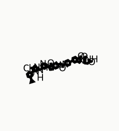 O=C1CCC(N2Cc3cc(C4CCN(C(=O)CN5CCC6(CC5)CCN(c5cncc(Nc7ncc(Cl)c(-c8cccc(C9CC9)c8)n7)c5)C6=O)CC4)ccc3C2=O)C(=O)N1